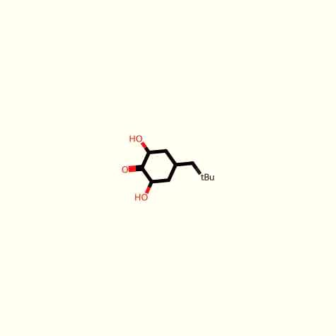 CC(C)(C)CC1CC(O)C(=O)C(O)C1